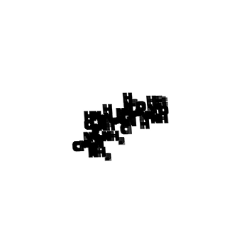 CCC(=O)NC(=N)NC(=O)c1nc(Cl)c(CNC(=N)NC(=O)c2nc(Cl)c(N)nc2N)nc1N